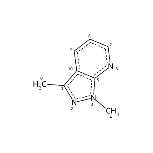 Cc1nn(C)c2ncc[c]c12